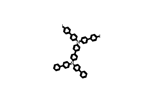 Ic1ccc(-c2ccc(N(c3ccc(-c4ccc(I)cc4)cc3)c3ccc(-c4ccc(N(c5ccc(-c6ccccc6)cc5)c5ccc(-c6ccccc6)cc5)cc4)cc3)cc2)cc1